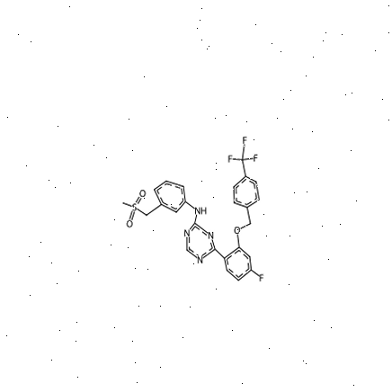 CS(=O)(=O)Cc1cccc(Nc2ncnc(-c3ccc(F)cc3OCc3ccc(C(F)(F)F)cc3)n2)c1